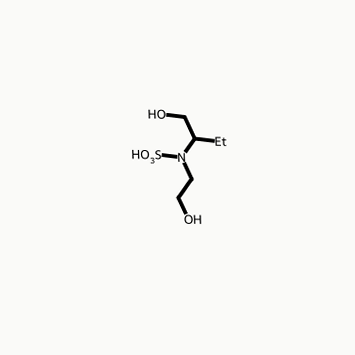 CCC(CO)N(CCO)S(=O)(=O)O